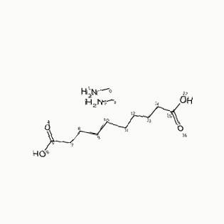 CN.CN.O=C(O)CCCCCCCCC(=O)O